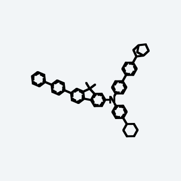 CC1(C)c2cc(-c3ccc(-c4ccccc4)cc3)ccc2-c2ccc(N(c3ccc(-c4ccc(C5CC6CCC5C6)cc4)cc3)c3ccc(C4CCCCC4)cc3)cc21